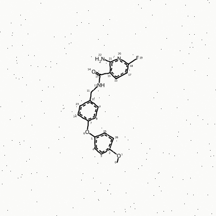 COc1ccc(Oc2ccc(CNC(=O)c3ccc(F)nc3N)cc2)cc1